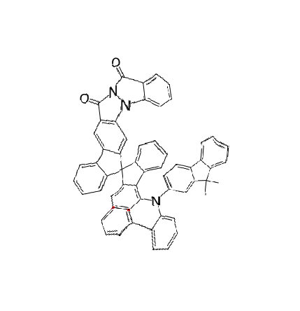 CC1(C)c2ccccc2-c2ccc(N(c3ccccc3-c3ccccc3)c3cccc4c3-c3ccccc3C43c4ccccc4-c4cc5c(=O)n6c(=O)c7ccccc7n6c5cc43)cc21